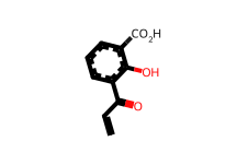 C=CC(=O)c1cccc(C(=O)O)c1O